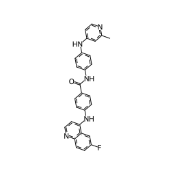 Cc1cc(Nc2ccc(NC(=O)c3ccc(Nc4ccnc5ccc(F)cc45)cc3)cc2)ccn1